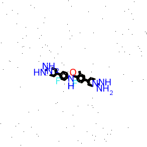 Cc1cc(C2=CCN(C(=N)N)CC2)cc(F)c1C(=O)Nc1ccc(C2=CCN(C(=N)N)CC2)c(F)c1